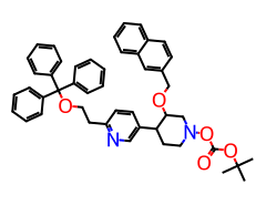 CC(C)(C)OC(=O)ON1CCC(c2ccc(CCOC(c3ccccc3)(c3ccccc3)c3ccccc3)nc2)C(OCc2ccc3ccccc3c2)C1